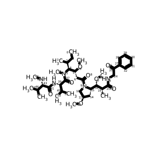 CCC(C)[C@@H]([C@@H](CC(=O)N1C[C@H](OC)C[C@H]1[C@H](OC)[C@@H](C)C(=O)NCC(=O)c1ccccc1)OC)N(C)C(=O)[C@@H](NC(=O)[C@@H](NC)C(C)C)C(C)C